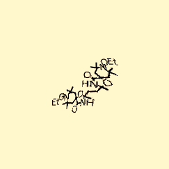 CCON1C(C)(C)CC2(CC1(C)C)OC(C)(CCC1(C)NC(=O)C3(CC(C)(C)N(OCC)C(C)(C)C3)O1)NC2=O